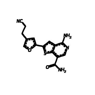 N#CCCc1coc(-c2cc3c(N)ncc(C(N)=O)c3s2)c1